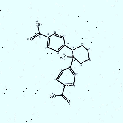 CC1(c2ccc(C(=O)O)cc2)CCCCC1c1ccc(C(=O)O)cc1